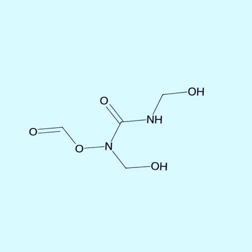 O=CON(CO)C(=O)NCO